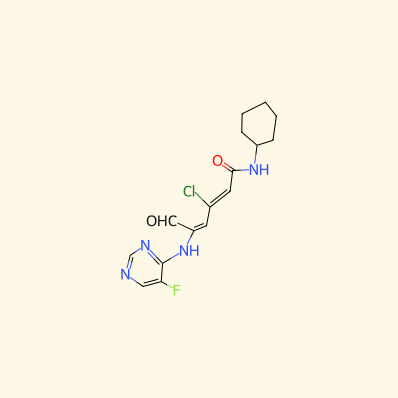 O=C/C(=C\C(Cl)=C\C(=O)NC1CCCCC1)Nc1ncncc1F